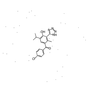 Cc1c(C(=O)c2ccc(Cl)cc2)cc(C(C)C)c(O)c1-c1nnn[nH]1